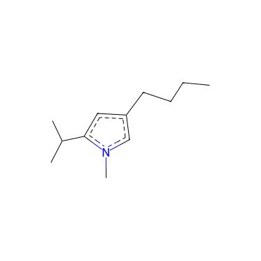 CCCCc1cc(C(C)C)n(C)c1